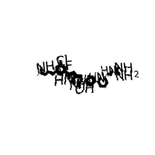 C[C@H](N)CCCc1cc(Cl)c(F)c(-c2cc3c([nH]2)=NC(O)N(c2ccc([C@@H]4CCC[C@@H](CCNC(=N)N)N4)cc2)C=3)c1